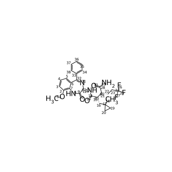 COc1cccc2c1NC(=O)[C@@H](NC(=O)[C@@H](CC1(C)CC1)[C@@H](CCC(F)(F)F)C(N)=O)N=C2c1ccccc1